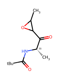 CC1OC1C(=O)[C@H](C)NC(=O)C(C)(C)C